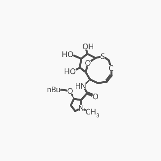 CCCCO[C@@H]1CCN(C)C1C(=O)N[C@@H]1C/C=C\CCSC2OC1C(O)C(O)C2O